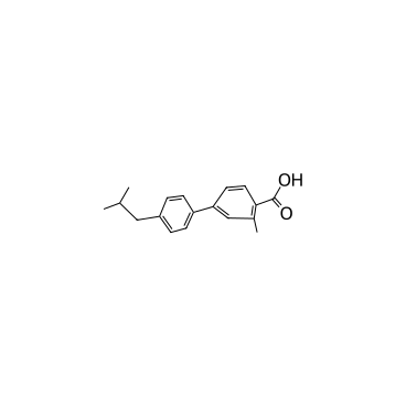 Cc1cc(-c2ccc(CC(C)C)cc2)ccc1C(=O)O